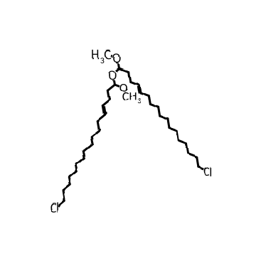 COC(CCC=CCCCCCCCCCCCCCl)OC(CCC=CCCCCCCCCCCCCCl)OC